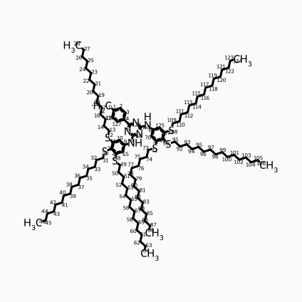 [CH2]c1ccc(-c2nc(Nc3cc(SCCCCCCCCCCCCCCCC)c(SCCCCCCCCCCCCCCCC)c(SCCCCCCCCCCCCCCCC)c3)nc(Nc3cc(SCCCCCCCCCCCCCCCC)c(SCCCCCCCCCCCCCCCC)c(SCCCCCCCCCCCCCCCC)c3)n2)cc1